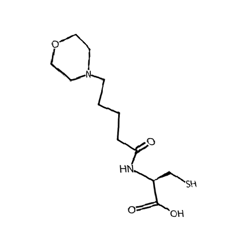 O=C(CCCCN1CCOCC1)N[C@@H](CS)C(=O)O